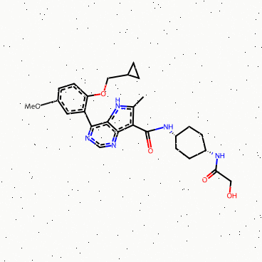 COc1ccc(OCC2CC2)c(-c2ncnc3c(C(=O)N[C@H]4CC[C@@H](NC(=O)CO)CC4)c(C)[nH]c23)c1